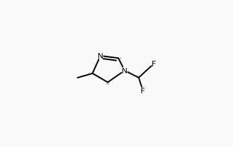 CC1[C]N(C(F)F)[C]=N1